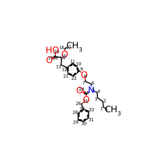 CCCCCN(CCOc1ccc(CC(OCC)C(=O)O)cc1)C(=O)OCc1ccccc1